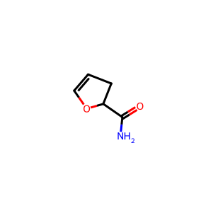 NC(=O)C1CC=CO1